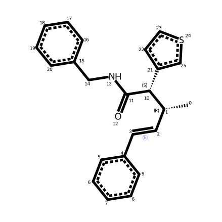 C[C@H](/C=C/c1ccccc1)[C@H](C(=O)NCc1ccccc1)c1ccsc1